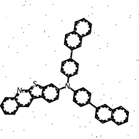 c1ccc2cc(-c3ccc(N(c4ccc(-c5ccc6ccccc6c5)cc4)c4ccc5c(c4)sc4nc6ccccc6cc45)cc3)ccc2c1